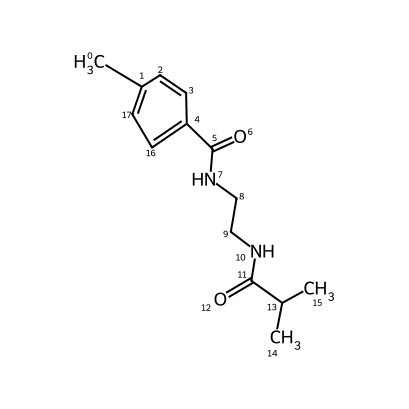 Cc1ccc(C(=O)NCCNC(=O)C(C)C)cc1